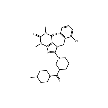 CC1CCN(C(=O)C2CCCN(c3nc4c(c(=O)n(C)c(=O)n4C)n3Cc3c(F)cccc3Cl)C2)CC1